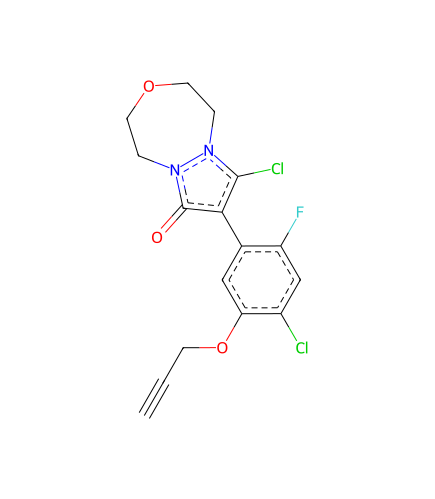 C#CCOc1cc(-c2c(Cl)n3n(c2=O)CCOCC3)c(F)cc1Cl